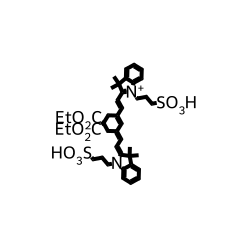 CCOC(=O)C1(C(=O)OCC)CC(/C=C/C2=[N+](CCCS(=O)(=O)O)c3ccccc3C2(C)C)=CC(=C/C=C2/N(CCCS(=O)(=O)O)c3ccccc3C2(C)C)/C1